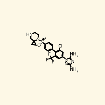 Nc1nc(N)n(-c2cc(Cl)c(-c3ccc(S(=O)(=O)N4CCNCC45CC5)cc3)c(C(F)(F)F)c2)n1